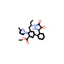 CCCCc1cc(-c2ccccc2C2NNC(=O)C2=O)cc(C(=O)OCC)c1-n1ccc(C)n1